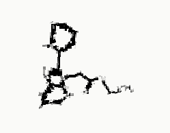 CCOC(=O)Cn1c(-c2ccccn2)nc2cccnc21